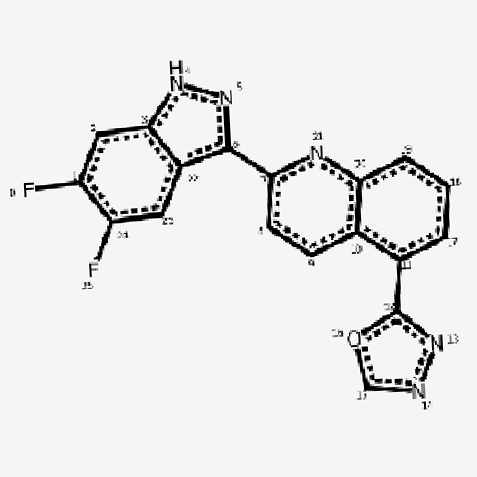 Fc1cc2[nH]nc(-c3ccc4c(-c5nnco5)cccc4n3)c2cc1F